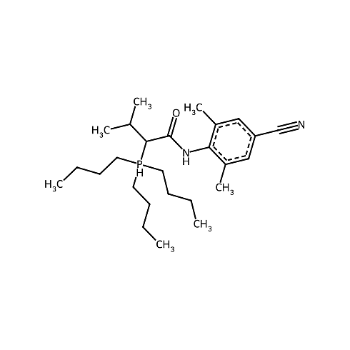 CCCC[PH](CCCC)(CCCC)C(C(=O)Nc1c(C)cc(C#N)cc1C)C(C)C